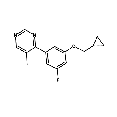 Cc1cncnc1-c1cc(F)cc(OCC2CC2)c1